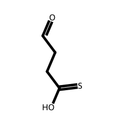 O=CCCC(O)=S